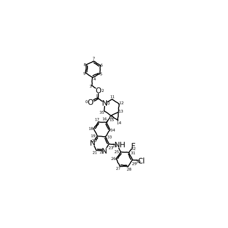 O=C(OCc1ccccc1)N1CCC2C[C@]2(c2ccc3ncnc(Nc4cccc(Cl)c4F)c3c2)C1